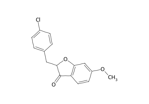 COc1ccc2c(c1)OC(Cc1ccc(Cl)cc1)C2=O